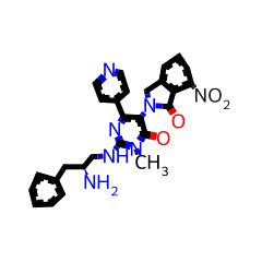 Cn1c(NC[C@H](N)Cc2ccccc2)nc(-c2ccncc2)c(N2Cc3cccc([N+](=O)[O-])c3C2=O)c1=O